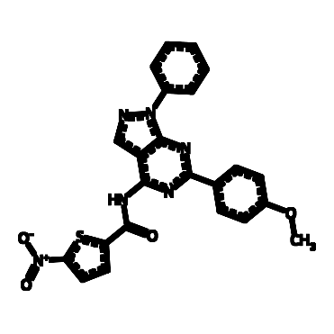 COc1ccc(-c2nc(NC(=O)c3ccc([N+](=O)[O-])s3)c3cnn(-c4ccccc4)c3n2)cc1